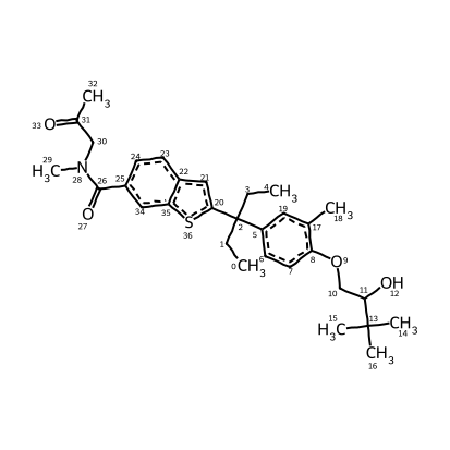 CCC(CC)(c1ccc(OCC(O)C(C)(C)C)c(C)c1)c1cc2ccc(C(=O)N(C)CC(C)=O)cc2s1